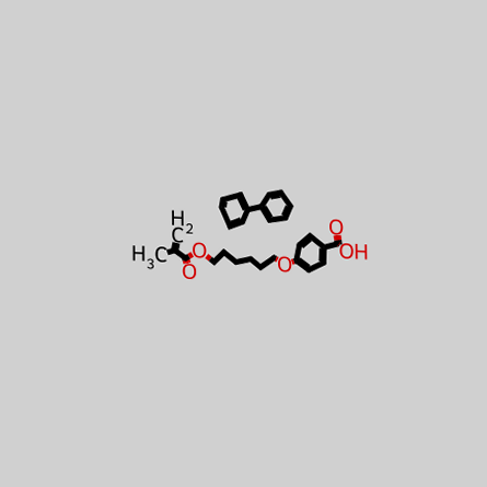 C=C(C)C(=O)OCCCCCCOc1ccc(C(=O)O)cc1.c1ccc(-c2ccccc2)cc1